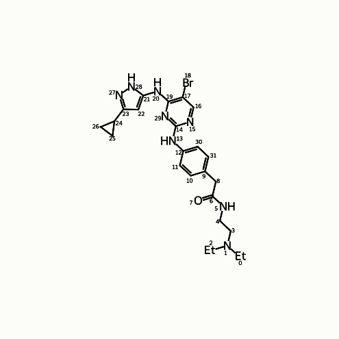 CCN(CC)CCNC(=O)Cc1ccc(Nc2ncc(Br)c(Nc3cc(C4CC4)n[nH]3)n2)cc1